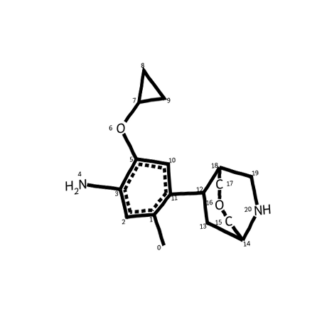 Cc1cc(N)c(OC2CC2)cc1C1CC2COCC1CN2